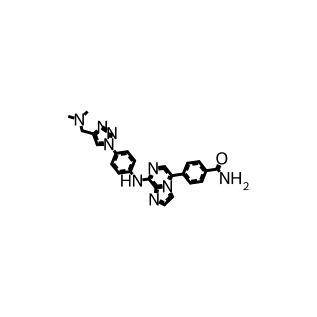 CN(C)Cc1cn(-c2ccc(Nc3ncc(-c4ccc(C(N)=O)cc4)n4ccnc34)cc2)nn1